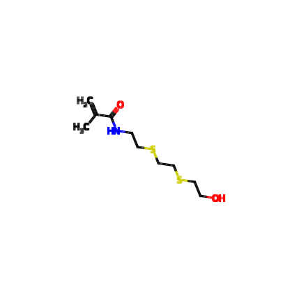 C=C(C)C(=O)NCCSCCSCCO